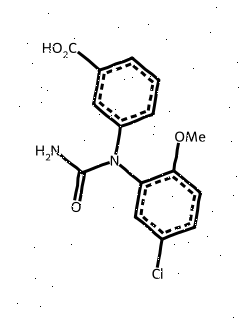 COc1ccc(Cl)cc1N(C(N)=O)c1cccc(C(=O)O)c1